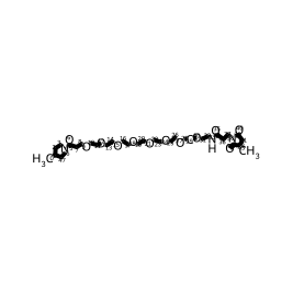 CC1CCN(C(=O)CCOCCOCCOCCOCCOCCOCCOCCOCCNC(=O)CCN2C(=O)CC(C)C2=O)CC1